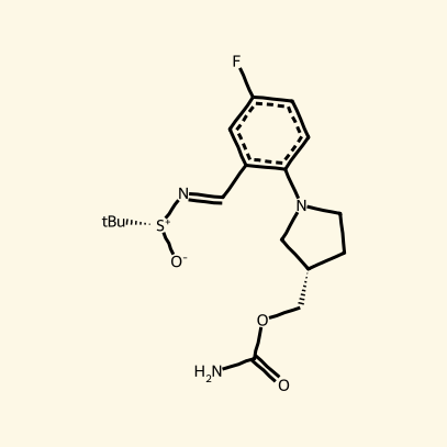 CC(C)(C)[S@@+]([O-])/N=C/c1cc(F)ccc1N1CC[C@H](COC(N)=O)C1